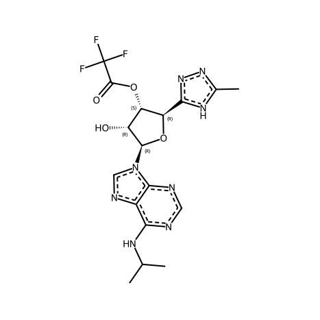 Cc1nnc([C@H]2O[C@@H](n3cnc4c(NC(C)C)ncnc43)[C@H](O)[C@@H]2OC(=O)C(F)(F)F)[nH]1